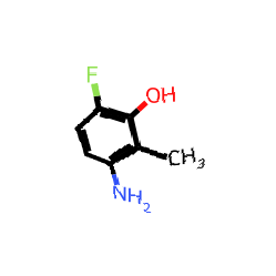 Cc1c(N)ccc(F)c1O